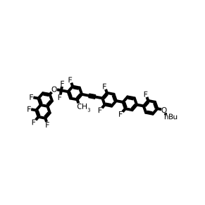 CCCCOc1ccc(-c2ccc(-c3cc(F)c(C#Cc4cc(F)c(C(F)(F)Oc5cc(F)c6c(F)c(F)c(F)cc6c5)cc4C)c(F)c3)c(F)c2)c(F)c1